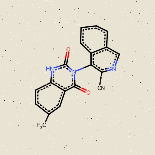 N#Cc1ncc2ccccc2c1-n1c(=O)[nH]c2ccc(C(F)(F)F)cc2c1=O